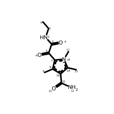 CCNC(=O)C(=O)c1c(C)c(C(N)=O)c(C)n1C